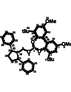 COc1cc(C(C)(C)C)c2op(OCP3[C@@H](c4ccccc4)CC[C@@H]3c3ccccc3)oc3c(C(C)(C)C)cc(OC)cc3c2c1